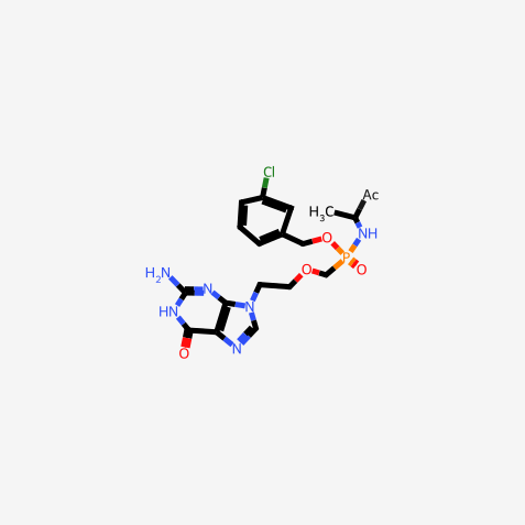 CC(=O)C(C)NP(=O)(COCCn1cnc2c(=O)[nH]c(N)nc21)OCc1cccc(Cl)c1